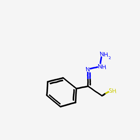 NNN=C(CS)c1ccccc1